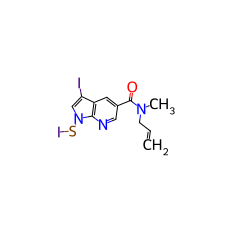 C=CCN(C)C(=O)c1cnc2c(c1)c(I)cn2SI